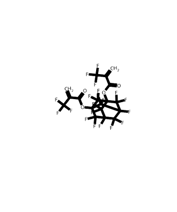 C=C(C(=O)OC12C(F)(F)C3(F)C(F)(F)C(F)(C1(F)F)C(F)(F)C(OC(=O)C(=C)C(F)(F)F)(C3(F)F)C2(F)F)C(F)(F)F